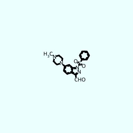 CN1CCN(c2ccc3c(C=O)nn(S(=O)(=O)c4ccccc4)c3c2)CC1